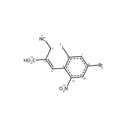 N#CCC(=Cc1c(I)cc(Br)cc1[N+](=O)[O-])C(=O)O